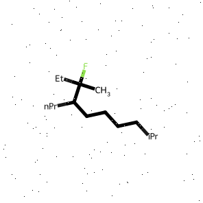 CCCC(CCCCC(C)C)C(C)(F)CC